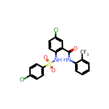 O=C(Nc1ccccc1C(F)(F)F)c1cc(Cl)ccc1NS(=O)(=O)c1ccc(Cl)cc1